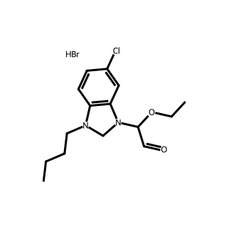 Br.CCCCN1CN(C(C=O)OCC)c2cc(Cl)ccc21